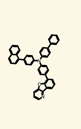 c1ccc(-c2ccc(N(c3ccc(-c4cccc5ccccc45)cc3)c3ccc(-c4cccc5c4oc4cccnc45)cc3)cc2)cc1